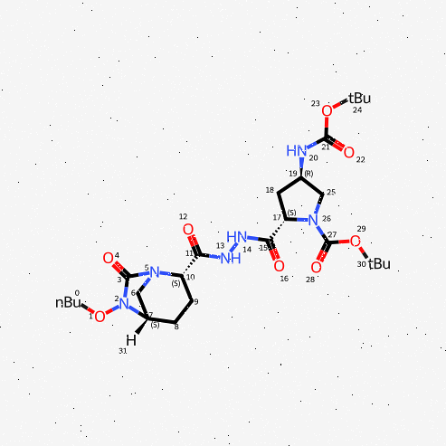 CCCCON1C(=O)N2C[C@@H]1CC[C@H]2C(=O)NNC(=O)[C@@H]1C[C@@H](NC(=O)OC(C)(C)C)CN1C(=O)OC(C)(C)C